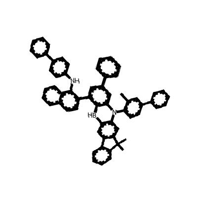 Cc1cc(-c2ccccc2)ccc1N1c2cc3c(cc2Bc2c(-c4ccc5ccccc5c4Nc4ccc(-c5ccccc5)cc4)cc(-c4ccccc4)cc21)-c1ccccc1C3(C)C